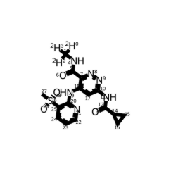 [2H]C([2H])([2H])NC(=O)c1nnc(NC(=O)C2CC2)cc1Nc1ncccc1S(C)(=O)=O